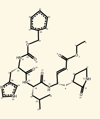 CCOC(=O)/C=C/[C@H](C[C@@H]1CCNC1=O)NC(=O)[C@H](CC(C)C)NC(=O)[C@H](Cc1c[nH]cn1)NC(=O)OCc1ccccc1